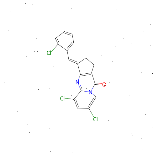 O=c1c2c(nc3c(Cl)cc(Cl)cn13)C(=Cc1ccccc1Cl)CC2